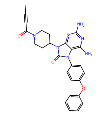 CC#CC(=O)N1CCC(n2c(=O)n(-c3ccc(Oc4ccccc4)cc3)c3c(N)nc(N)nc32)CC1